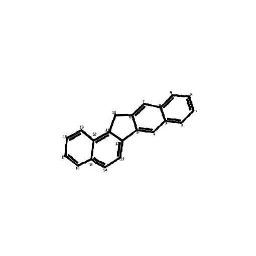 c1ccc2cc3c(cc2c1)Cc1c-3ccc2ccccc12